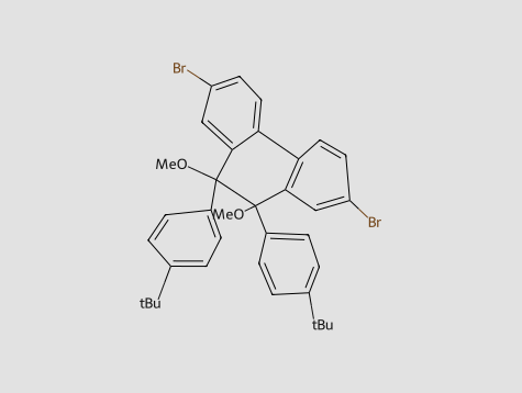 COC1(c2ccc(C(C)(C)C)cc2)c2cc(Br)ccc2-c2ccc(Br)cc2C1(OC)c1ccc(C(C)(C)C)cc1